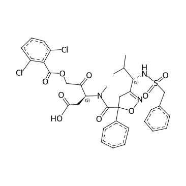 CC(C)[C@H](NS(=O)(=O)Cc1ccccc1)C1=NOC(C(=O)N(C)[C@@H](CC(=O)O)C(=O)COC(=O)c2c(Cl)cccc2Cl)(c2ccccc2)C1